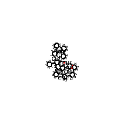 C=Cc1c(N(c2c(C)cccc2C)c2cccc3c2oc2c(-c4ccccc4CC)cccc23)cc(C2CCCCC2)c2ccc3c(N(c4cccc(-c5cccc(-c6ccccc6CC)c5)c4O)c4c(C)cccc4C)cc(C4CCCCC4)c(C)c3c12